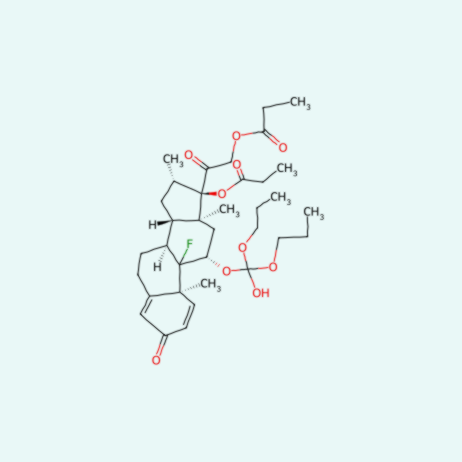 CCCOC(O)(OCCC)O[C@H]1C[C@@]2(C)[C@@H](C[C@H](C)[C@]2(OC(=O)CC)C(=O)COC(=O)CC)[C@@H]2CCC3=CC(=O)C=C[C@]3(C)C12F